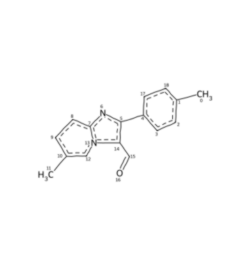 Cc1ccc(-c2nc3ccc(C)cn3c2C=O)cc1